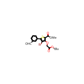 COC(=O)c1sc(-c2cccc(C=O)c2)c(Br)c1OCC(=O)OC(C)(C)C